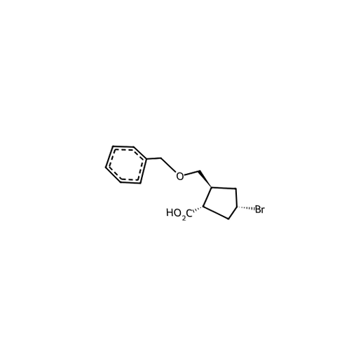 O=C(O)[C@H]1C[C@@H](Br)C[C@@H]1COCc1ccccc1